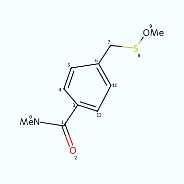 CNC(=O)c1ccc(CSOC)cc1